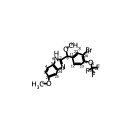 COc1ccc2[nH]c(C(OC)c3ccc(OC(F)(F)F)c(Br)c3)nc2c1